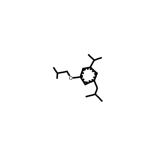 C[C](C)c1cc(CC(C)C)cc(OCC(C)C)c1